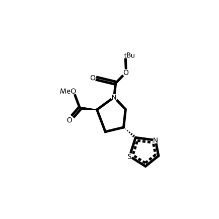 COC(=O)[C@@H]1C[C@@H](c2nccs2)CN1C(=O)OC(C)(C)C